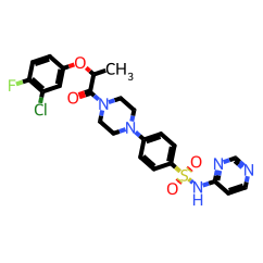 CC(Oc1ccc(F)c(Cl)c1)C(=O)N1CCN(c2ccc(S(=O)(=O)Nc3ccncn3)cc2)CC1